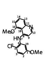 COc1ccc(Cl)c(Nc2ccnc3cccc(OC)c23)c1